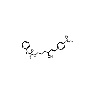 CCN(CC)c1ccc(/C=C/C(O)CCCOS(=O)(=O)Oc2ccccc2)cc1